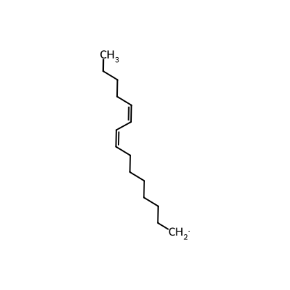 [CH2]CCCCCC/C=C\C=C/CCCC